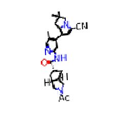 CC(=O)N1C[C@H]2C[C@@H](C(=O)Nc3cc(-c4cc(C#N)n5c4CC(C)(C)C5)c(C)cn3)C[C@H]2C1